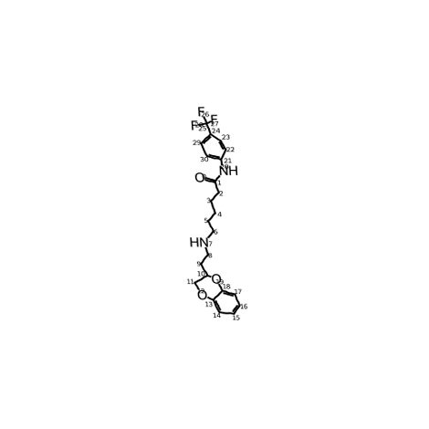 O=C(CCCCCNCCC1COc2ccccc2O1)Nc1ccc(C(F)(F)F)cc1